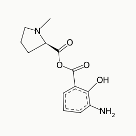 CN1CCC[C@@H]1C(=O)OC(=O)c1cccc(N)c1O